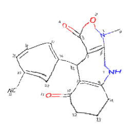 Cn1oc(=O)c2c1NC1=C(C(=O)CCC1)C2c1cccc(C#N)c1